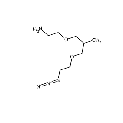 CC(COCCN)COCCN=[N+]=[N-]